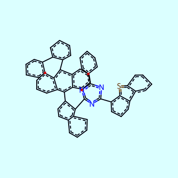 c1ccc(-c2nc(-c3c(-c4c5ccccc5c(-c5ccccc5-c5ccccc5)c5ccccc45)ccc4ccccc34)nc(-c3cccc4c3sc3ccccc34)n2)cc1